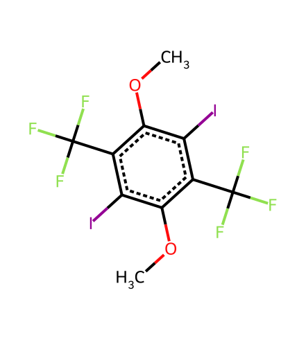 COc1c(I)c(C(F)(F)F)c(OC)c(I)c1C(F)(F)F